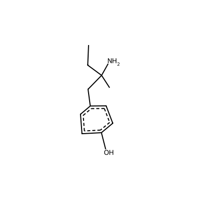 CCC(C)(N)Cc1ccc(O)cc1